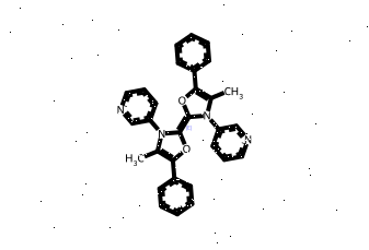 CC1=C(c2ccccc2)O/C(=C2/OC(c3ccccc3)=C(C)N2c2cccnc2)N1c1cccnc1